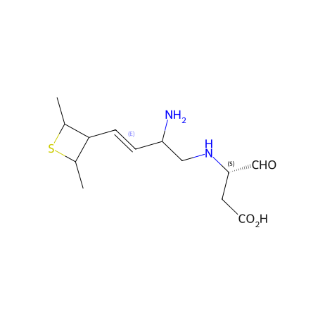 CC1SC(C)C1/C=C/C(N)CN[C@H](C=O)CC(=O)O